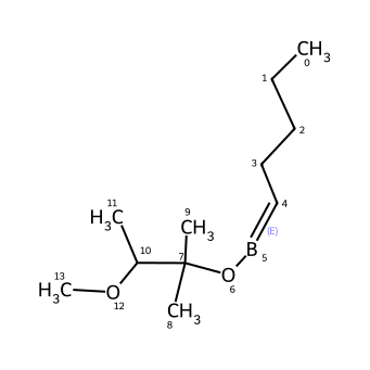 CCCC/C=B/OC(C)(C)C(C)OC